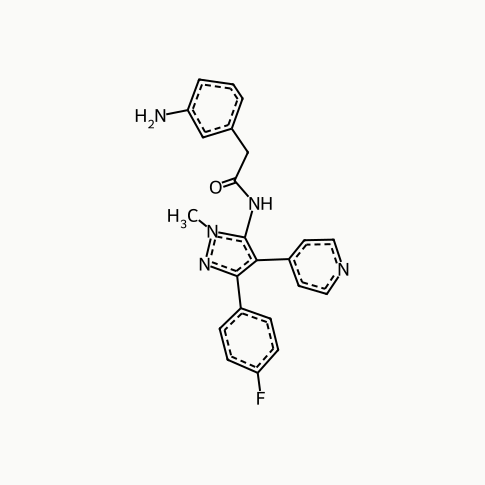 Cn1nc(-c2ccc(F)cc2)c(-c2ccncc2)c1NC(=O)Cc1cccc(N)c1